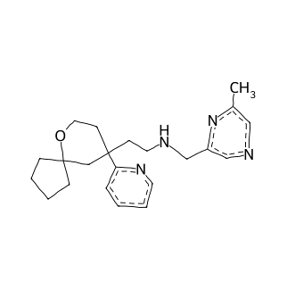 Cc1cncc(CNCCC2(c3ccccn3)CCOC3(CCCC3)C2)n1